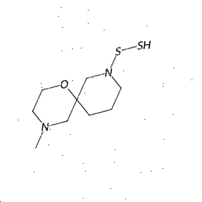 CN1CCOC2(CCCN(SS)C2)C1